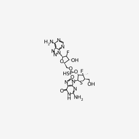 C[C@]1(F)[C@@H](CO)S[C@@H](n2cnc3c(=O)[nH]c(N)nc32)[C@@H]1OP(=O)(S)OC[C@H]1O[C@@H](n2nnc3c(N)ncnc32)[C@@H](F)[C@@H]1O